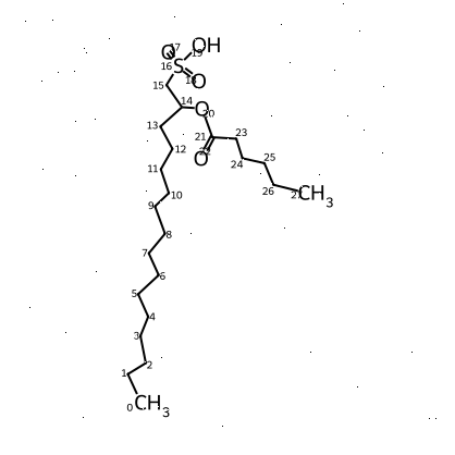 CCCCCCCCCCCCCCC(CS(=O)(=O)O)OC(=O)CCCCC